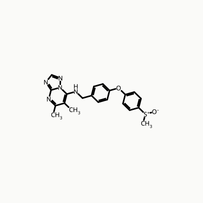 Cc1nc2ncnn2c(NCc2ccc(Oc3ccc([S+](C)[O-])cc3)cc2)c1C